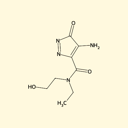 CCN(CCO)C(=O)C1=C(N)C(=O)N=N1